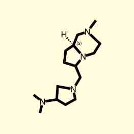 CN1CCN2C(CN3CCC(N(C)C)C3)CC[C@H]2C1